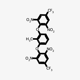 Cc1c(Oc2c([N+](=O)[O-])cc(C(F)(F)F)cc2[N+](=O)[O-])cccc1Oc1c([N+](=O)[O-])cc(C(F)(F)F)cc1[N+](=O)[O-]